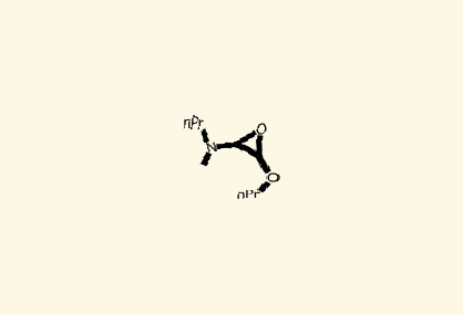 CCCOC1OC1N(C)CCC